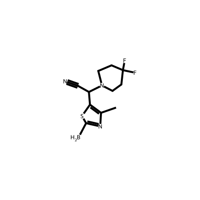 Bc1nc(C)c(C(C#N)N2CCC(F)(F)CC2)s1